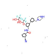 C[C@@H]1CN(Cc2cccc(-c3cccc(CNC(=O)c4cccc(C#N)c4)c3)c2)CCN1.O=C(O)C(F)(F)F.O=C(O)C(F)(F)F